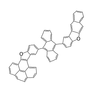 c1ccc2cc3c(cc2c1)oc1ccc(-c2c4ccccc4c(-c4ccc5oc6c7cccc8ccc9cccc(c6c5c4)c9c87)c4ccccc24)cc13